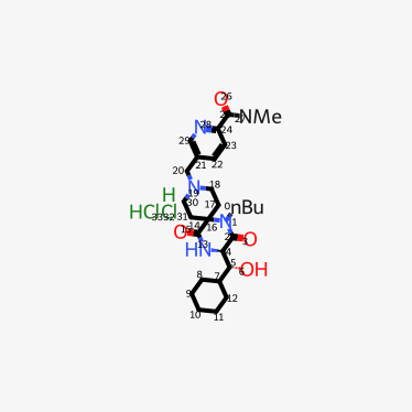 CCCCN1C(=O)[C@@H]([C@H](O)C2CCCCC2)NC(=O)C12CCN(Cc1ccc(C(=O)NC)nc1)CC2.Cl.Cl